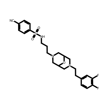 N#Cc1ccc(S(=O)(=O)NCCCN2CC3CN(CCc4ccc(F)c(F)c4)CC(C2)O3)cc1